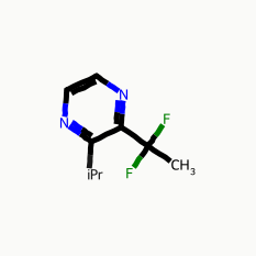 CC(C)c1nccnc1C(C)(F)F